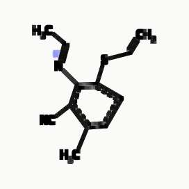 C=CSc1ccc(C)c(C#N)c1/N=C/C